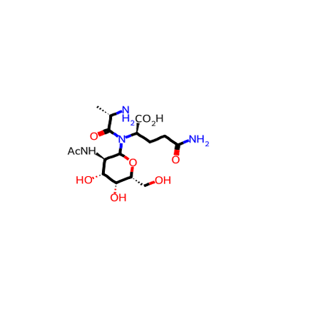 CC(=O)N[C@H]1C(N(C(=O)[C@H](C)N)[C@H](CCC(N)=O)C(=O)O)O[C@H](CO)[C@H](O)[C@@H]1O